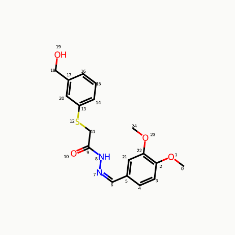 COc1ccc(/C=N\NC(=O)CSc2cccc(CO)c2)cc1OC